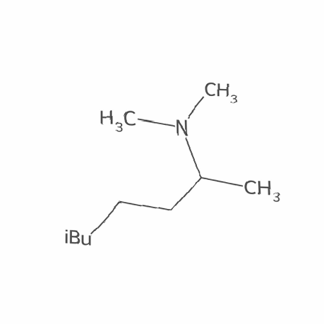 CCC(C)CCC(C)N(C)C